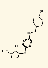 CC1CCC(Oc2ccc(NCC3CCC(N)CC3)cc2)C1C